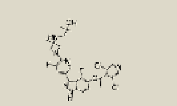 C[C@@H](Oc1ccc2[nH]nc(-c3cnc(N4CC(C)(NCC(C)(C)O)C4)c(F)c3)c2c1F)c1c(Cl)cncc1Cl